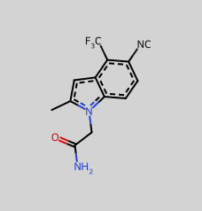 [C-]#[N+]c1ccc2c(cc(C)n2CC(N)=O)c1C(F)(F)F